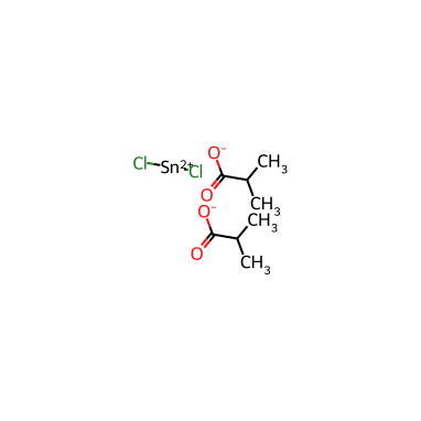 CC(C)C(=O)[O-].CC(C)C(=O)[O-].[Cl][Sn+2][Cl]